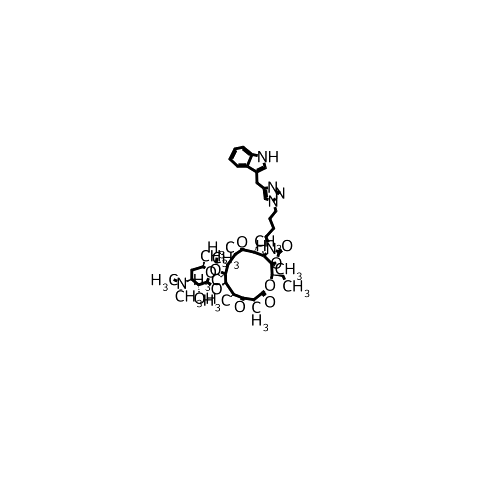 CC[C@H]1OC(=O)[C@H](C)C(=O)[C@H](C)[C@@H](OC2O[C@H](C)C[C@H](N(C)C)[C@H]2O)[C@@](C)(OC)C[C@@H](C)C(=O)[C@H](C)[C@H]2N(CCCCn3cc(Cc4c[nH]c5ccccc45)nn3)C(=O)O[C@]12C